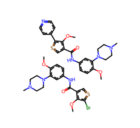 COc1ccc(NC(=O)c2csc(-c3ccncc3)c2OC)cc1N1CCN(C)CC1.COc1ccc(NC(=O)c2csc(Br)c2OC)cc1N1CCN(C)CC1